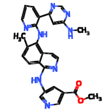 CNc1cc(-c2cccnc2Nc2c(C)ccc3c(Nc4cncc(C(=O)OC)c4)nccc23)ncn1